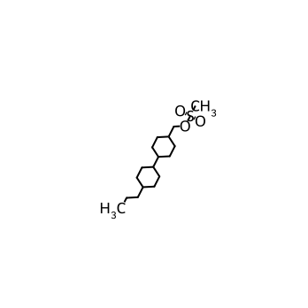 CCCC1CCC(C2CCC(COS(C)(=O)=O)CC2)CC1